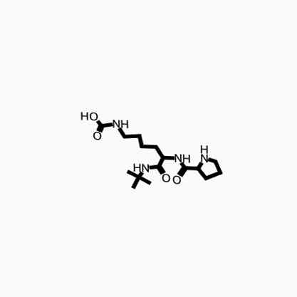 CC(C)(C)NC(=O)C(CCCCNC(=O)O)NC(=O)C1CCCN1